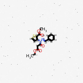 CCOC(=O)CC(=O)N(N=Cc1ccccc1)c1ccsc1C(=O)OC